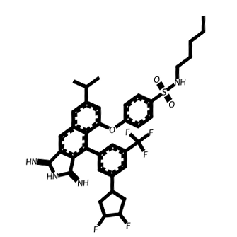 CCCCCNS(=O)(=O)c1ccc(Oc2cc(C(C)C)cc3cc4c(c(-c5cc(C6CC(F)C(F)C6)cc(C(F)(F)F)c5)c23)C(=N)NC4=N)cc1